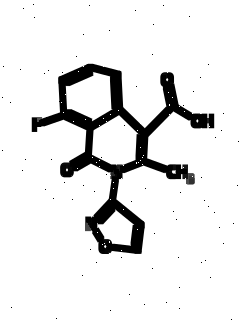 Cc1c(C(=O)O)c2cccc(F)c2c(=O)n1-c1ccon1